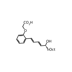 CCCCCCCC[C@H](O)/C=C/C=C/c1ccccc1OCC(=O)O